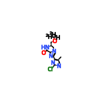 [2H]C([2H])([2H])OCC1Cn2cc(-c3nc(Cl)ncc3C)nc2C(=O)N1